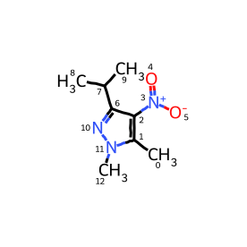 Cc1c([N+](=O)[O-])c(C(C)C)nn1C